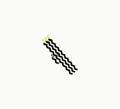 CCCCCCCCCCCCCCCCC=C[S-].CCCCCCCCCCCCCCCCC=C[S-].CCCCCCCCCCCCCCCCC=C[S-].CCC[CH2][Sn+3]